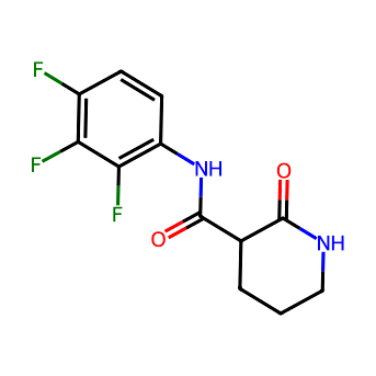 O=C1NCCCC1C(=O)Nc1ccc(F)c(F)c1F